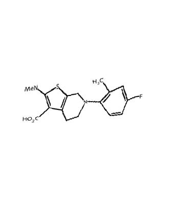 CNc1sc2c(c1C(=O)O)CCN(c1ccc(F)cc1C)C2